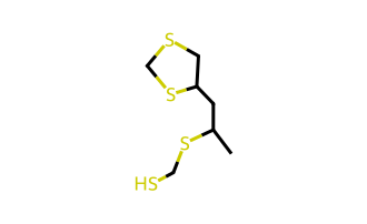 CC(CC1CSCS1)SCS